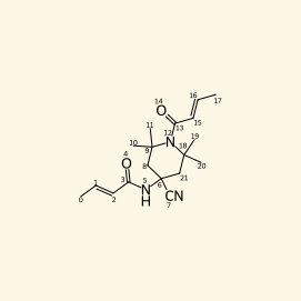 CC=CC(=O)NC1(C#N)CC(C)(C)N(C(=O)C=CC)C(C)(C)C1